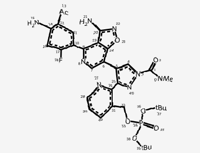 CNC(=O)n1cc(-c2cnc(-c3cc(C(C)=O)c(N)cc3F)c3c(N)noc23)c(-c2ncccc2COP(=O)(OC(C)(C)C)OC(C)(C)C)n1